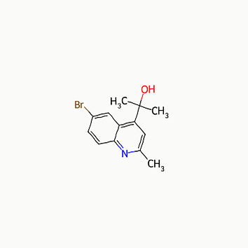 Cc1cc(C(C)(C)O)c2cc(Br)ccc2n1